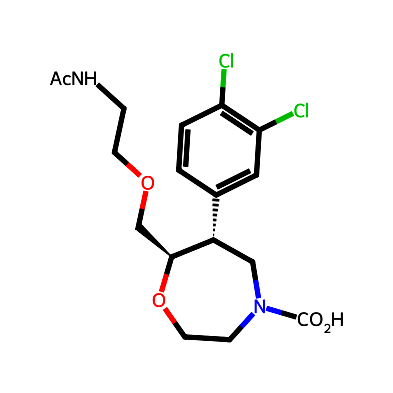 CC(=O)NCCOC[C@@H]1OCCN(C(=O)O)C[C@H]1c1ccc(Cl)c(Cl)c1